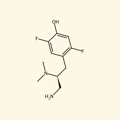 CN(C)[C@H](CN)Cc1cc(F)c(O)cc1F